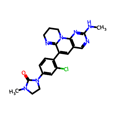 CNc1ncc2c(n1)N1CCCN=C1C(c1ccc(N3CCN(C)C3=O)cc1Cl)=C2